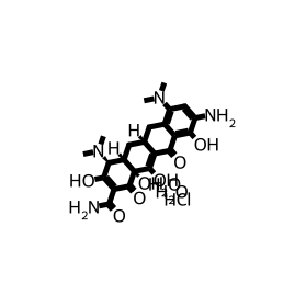 CN(C)c1cc(N)c(O)c2c1C[C@H]1C[C@H]3[C@H](N(C)C)C(O)=C(C(N)=O)C(=O)[C@@]3(O)C(O)=C1C2=O.Cl.O.O